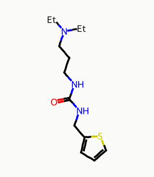 CCN(CC)CCCNC(=O)NCc1cccs1